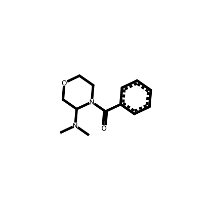 CN(C)C1COCCN1C(=O)c1ccccc1